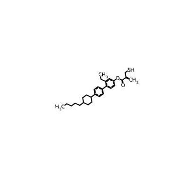 C=C(CS)C(=O)Oc1ccc(-c2ccc(C3CCC(CCCCC)CC3)cc2)c(CC)c1